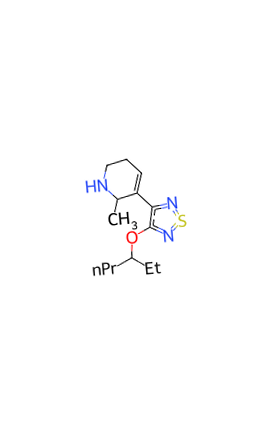 CCCC(CC)Oc1nsnc1C1=CCCNC1C